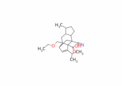 CCOCC12CC3C(C)CCC3C3(C#N)CC1C=C(C(C)C)C32C(=O)O